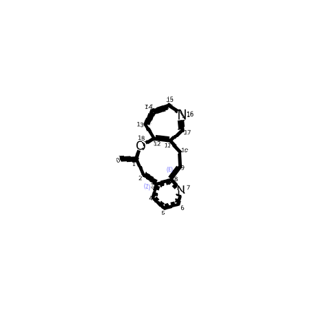 C=C1/C=c2/cccn/c2=C/CC2=C(C=C=CN=C2)O1